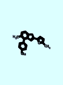 Cc1ccc(C2=Cc3c(ccc(C)c3-c3ccc(C(C)(C)C)cc3)C2)o1